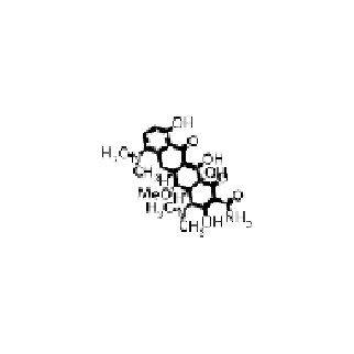 CO[C@@H]1[C@H]2[C@H](N(C)C)C(O)=C(C(N)=O)C(=O)[C@@]2(O)C(O)=C2C(=O)c3c(O)ccc(N(C)C)c3C[C@H]21